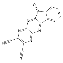 N#Cc1nc2nc3c(nc2nc1C#N)-c1ccccc1C3=O